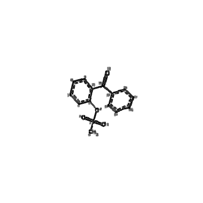 CS(=O)(=O)Oc1ccccc1C(=O)c1ccccc1